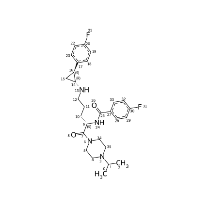 CC(C)N1CCN(C(=O)[C@H](CCCN[C@@H]2C[C@H]2c2ccc(F)cc2)NC(=O)c2ccc(F)cc2)CC1